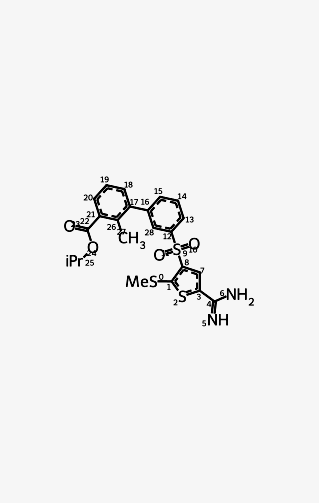 CSc1sc(C(=N)N)cc1S(=O)(=O)c1cccc(-c2cccc(C(=O)OC(C)C)c2C)c1